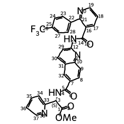 COC(=O)[C@@H](NC(=O)c1ccc2nc(NC(=O)c3cccnc3-c3ccc(C(F)(F)F)cc3)ccc2c1)c1ccccn1